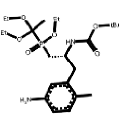 CCOC(C)(OCC)P(=O)(C[C@@H](Cc1cc(N)ccc1C)NC(=O)OC(C)(C)C)OCC